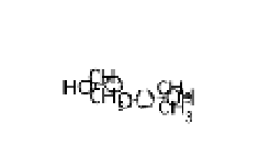 CC(C)(O)c1ccc(Oc2cccc(C(C)(C)O)c2)cc1